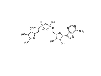 CC(=O)N[C@@H]1C(O)C(C)O[C@@H]1COP(=O)(O)OP(=O)(O)OC[C@H]1O[C@@H](n2cnc3c(N)ncnc32)C(O)C1O